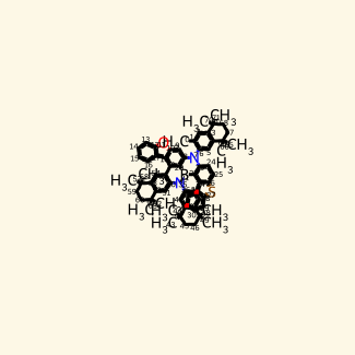 Cc1cc2c(cc1N1c3cc4oc5ccccc5c4c4c3B(c3c1ccc1sc5ccccc5c31)N(c1ccc3c(c1)C(C)(C)CCC3(C)C)c1cc3c(cc1-4)C(C)(C)CCC3(C)C)C(C)(C)CCC2(C)C